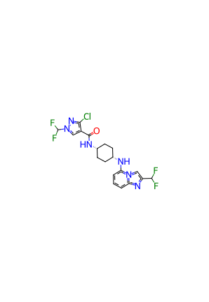 O=C(N[C@H]1CC[C@@H](Nc2cccc3nc(C(F)F)cn23)CC1)c1cn(C(F)F)nc1Cl